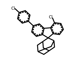 Clc1ccc(-c2ccc3c(c2)-c2c(Cl)cccc2C32C3CC4CC(C3)CC2C4)cc1